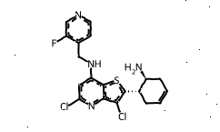 N[C@H]1CC=CC[C@@H]1c1sc2c(NCc3ccncc3F)cc(Cl)nc2c1Cl